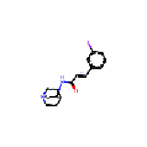 O=C(/C=C/c1cccc(I)c1)NC1CN2CCC1CC2